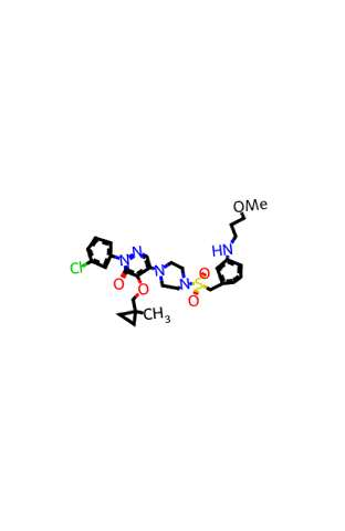 COCCCNc1cccc(CS(=O)(=O)N2CCN(c3cnn(-c4cccc(Cl)c4)c(=O)c3OCC3(C)CC3)CC2)c1